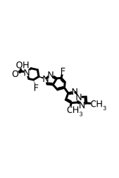 Cc1cn2nc(-c3cc(F)c4nn([C@@H]5CCN(C(=O)O)C[C@H]5F)cc4c3)cc(C)c2n1